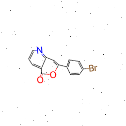 O=c1oc(-c2ccc(Br)cc2)cc2ncccc12